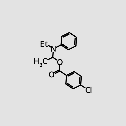 CCN(c1ccccc1)C(C)OC(=O)c1ccc(Cl)cc1